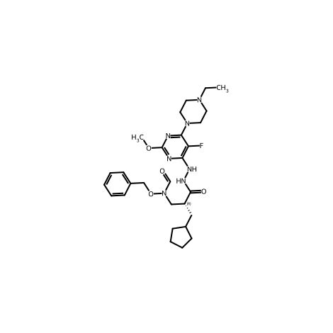 CCN1CCN(c2nc(OC)nc(NNC(=O)[C@H](CC3CCCC3)CN(C=O)OCc3ccccc3)c2F)CC1